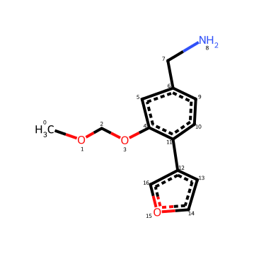 COCOc1cc(CN)ccc1-c1ccoc1